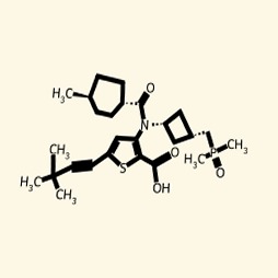 CC(C)(C)C#Cc1cc(N(C(=O)[C@H]2CC[C@H](C)CC2)[C@H]2C[C@@H](CP(C)(C)=O)C2)c(C(=O)O)s1